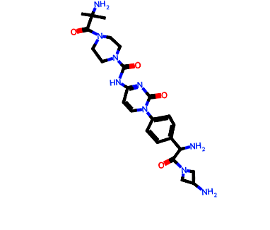 CC(C)(N)C(=O)N1CCN(C(=O)Nc2ccn(-c3ccc(C(N)C(=O)N4CC(N)C4)cc3)c(=O)n2)CC1